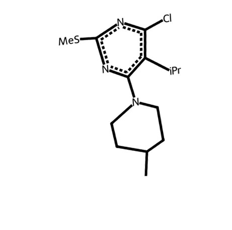 CSc1nc(Cl)c(C(C)C)c(N2CCC(C)CC2)n1